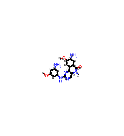 COc1cc(N)cc(Nc2ncc3c(n2)c2cc(OC)c(N)cc2c(=O)n3C)c1